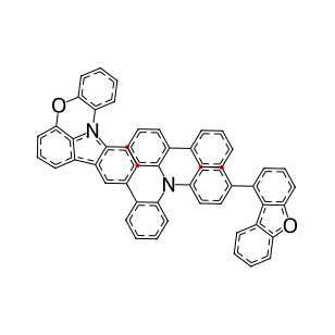 c1ccc(-c2ccccc2N(c2ccc(-c3cccc4oc5ccccc5c34)cc2)c2ccccc2-c2ccc3c(c2)c2cccc4c2n3-c2ccccc2O4)cc1